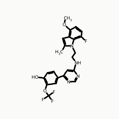 COc1ccc(F)c2c1cc(C)n2CCNc1cc(-c2ccc(O)c(OC(F)(F)F)c2)ncn1